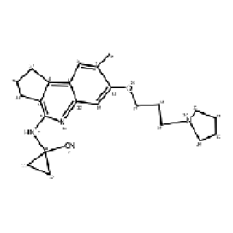 Cc1cc2c3c(c(NC4(C#N)CC4)nc2cc1OCCCN1CCCC1)CCC3